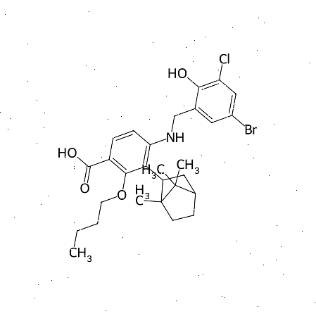 CCCCOc1c(C(=O)O)ccc(NCc2cc(Br)cc(Cl)c2O)c1C1CC2CCC1(C)C2(C)C